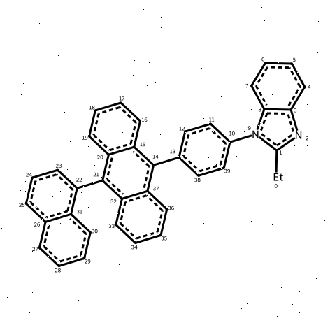 CCc1nc2ccccc2n1-c1ccc(-c2c3ccccc3c(-c3cccc4ccccc34)c3ccccc23)cc1